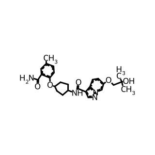 Cc1ccc(OC2CCC(NC(=O)c3cnn4cc(OCC(C)(C)O)ccc34)CC2)c(C(N)=O)c1